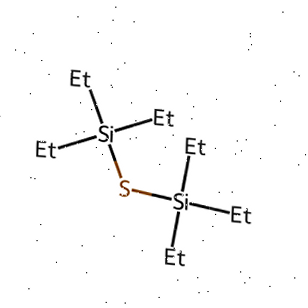 CC[Si](CC)(CC)S[Si](CC)(CC)CC